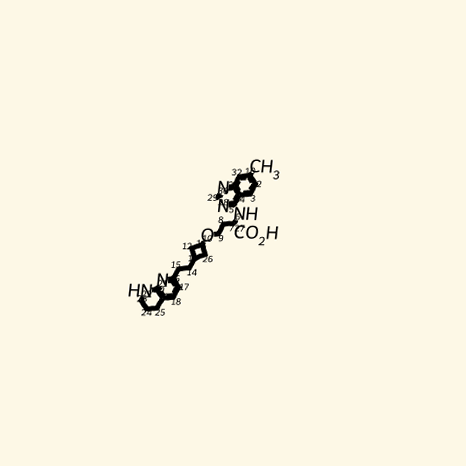 Cc1ccc2c(NC(CCOC3CC(CCc4ccc5c(n4)NCCC5)C3)C(=O)O)ncnc2c1